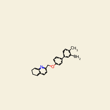 Bc1cc(-c2ccc(OCc3ccc4c(n3)=CCCC=4)cc2)ccc1C